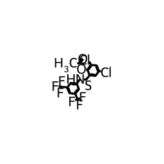 CC(=O)Oc1c(Cl)cc(Cl)cc1C(=S)Nc1cc(C(F)(F)F)cc(C(F)(F)F)c1